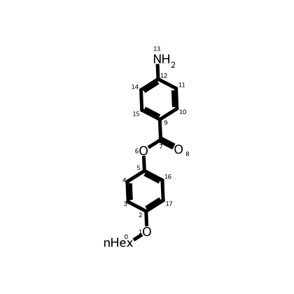 CCCCCCOc1ccc(OC(=O)c2ccc(N)cc2)cc1